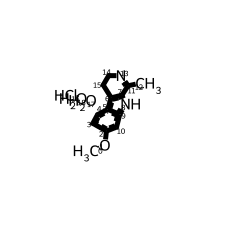 COc1ccc2c3c([nH]c2c1)C(C)=NCC3.Cl.O.O